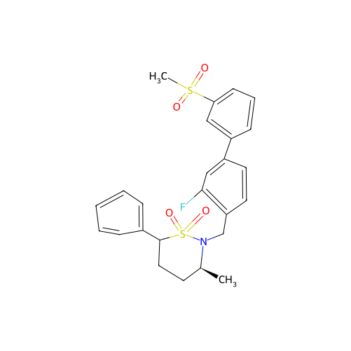 C[C@H]1CCC(c2ccccc2)S(=O)(=O)N1Cc1ccc(-c2cccc(S(C)(=O)=O)c2)cc1F